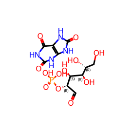 O=C[C@H](OP(=O)(O)O)[C@@H](O)[C@H](O)[C@H](O)CO.O=c1[nH]c(=O)c2[nH]c(=O)[nH]c2[nH]1